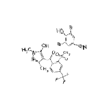 Cc1nn(C)c(O)c1C(=O)c1ccc(C(F)(F)F)cc1S(C)(=O)=O.N#Cc1cc(Br)c(O)c(Br)c1